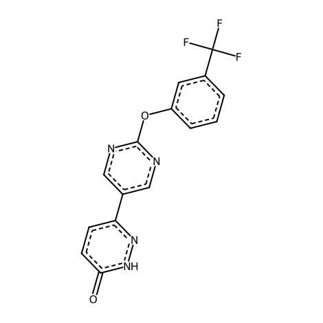 O=c1ccc(-c2cnc(Oc3cccc(C(F)(F)F)c3)nc2)n[nH]1